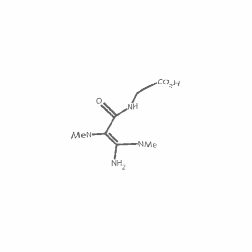 CN/C(N)=C(/NC)C(=O)NCC(=O)O